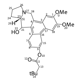 COc1cc2c3c(c4ccc(OC(=O)CC(C)(C)C)cc4c2cc1OC)C(O)[C@@H]1CCCN1C3